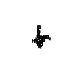 CC1=C(C(=O)OCCOCc2ccccc2)C(c2cccc([N+](=O)[O-])c2)C(P2(=O)OCC(C)(C)CO2)=C(C)N1